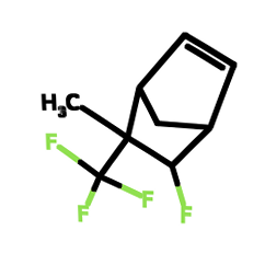 CC1(C(F)(F)F)C2C=CC(C2)C1F